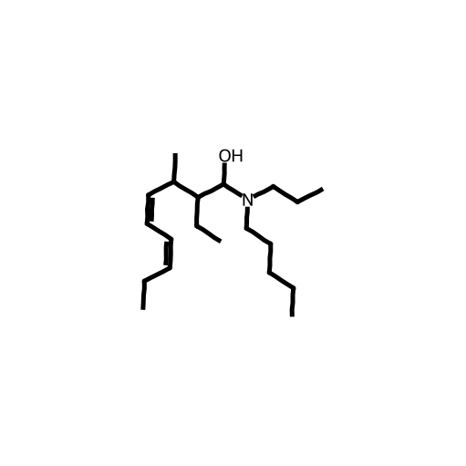 CC/C=C\C=C/C(C)C(CC)C(O)N(CCC)CCCCC